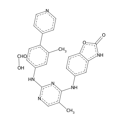 Cc1cc(Nc2ncc(C)c(Nc3ccc4oc(=O)[nH]c4c3)n2)ccc1-c1ccncc1.O=CO